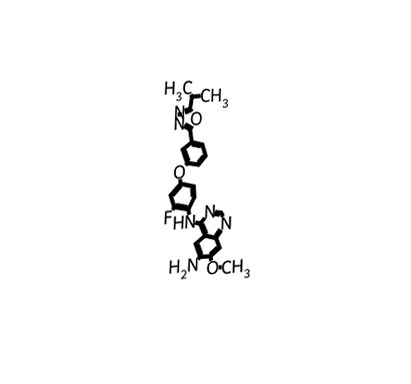 COc1cc2ncnc(Nc3ccc(Oc4cccc(-c5nnc(C(C)C)o5)c4)cc3F)c2cc1N